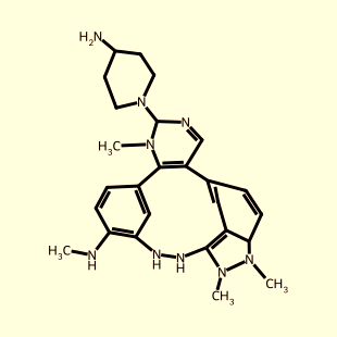 CNc1ccc2cc1NNC1=C3C=C(C=CC3N(C)N1C)C1=C2N(C)C(N2CCC(N)CC2)N=C1